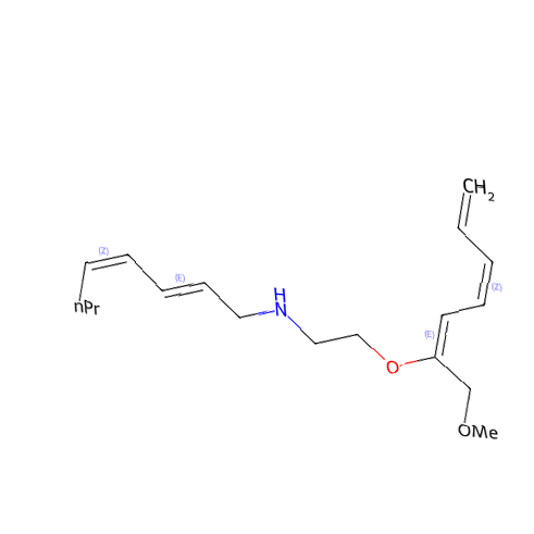 C=C/C=C\C=C(/COC)OCCNC/C=C/C=C\CCC